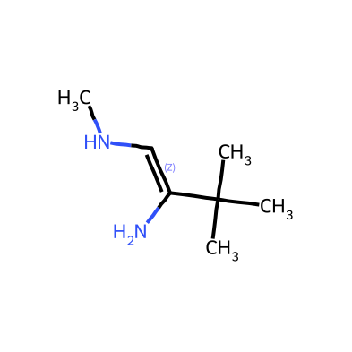 CN/C=C(\N)C(C)(C)C